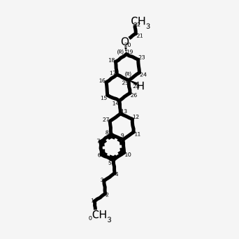 CCCCCc1ccc2c(c1)CCC(C1CCC3C[C@H](OCC)CC[C@@H]3C1)C2